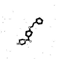 O=C(c1ccc(OCCc2ccccc2)cc1)N1CCNCC1